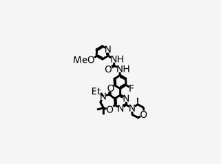 CCN1CC(C)(C)Oc2nc(N3CCOC[C@@H]3C)nc(-c3ccc(NC(=O)Nc4cc(OC)ccn4)cc3F)c2C1=O